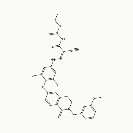 CCOC(=O)NC(=O)C(C#N)=NNc1cc(Cl)c(Oc2ccc3c(c2)CCN(Cc2cccc(OC)c2)C3=O)c(Cl)c1